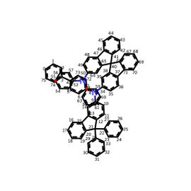 c1ccc(-c2ccc(N(c3ccc4c(c3)-c3ccccc3C4(c3ccccc3)c3ccccc3)c3ccc4c(c3)C3(c5ccccc5-c5ccc(N(c6ccccc6)c6ccccc6)cc53)c3ccccc3-4)cc2)cc1